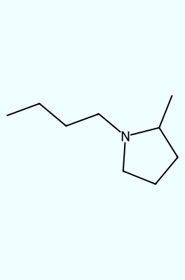 CCCCN1CCCC1C